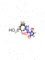 O=C(O)C1CCC(NC(O)N2C(=O)C=CC2=O)CC2SSC2C1